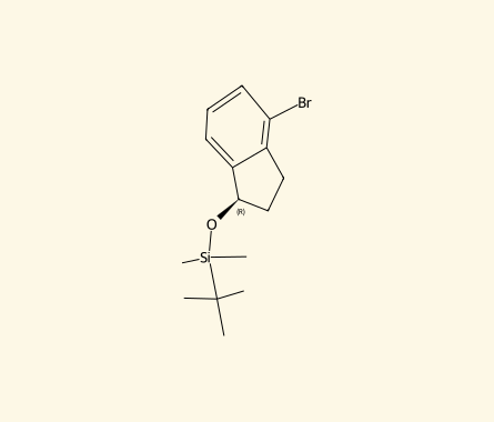 CC(C)(C)[Si](C)(C)O[C@@H]1CCc2c(Br)cccc21